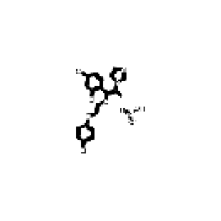 C/C(=C(\OCCOc1ccc(Cl)cc1)c1ccc(Cl)cc1Cl)n1ccnc1.O=[N+]([O-])O